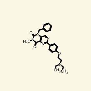 CCN(CC)CCOc1ccc(-c2ncc3c(n2)c(=O)n(C)c(=O)n3Cc2ccccc2)cc1